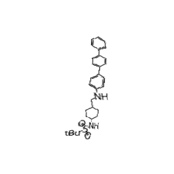 CC(C)(C)S(=O)(=O)NC1CCC(CNc2ccc(-c3ccc(-c4ccccc4)cc3)cc2)CC1